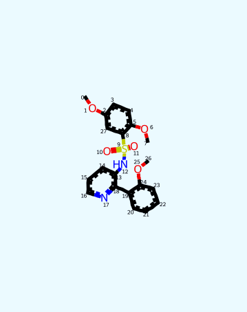 COc1ccc(OC)c(S(=O)(=O)Nc2cccnc2-c2ccccc2OC)c1